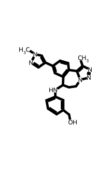 Cc1nnn2c1-c1ccc(-c3cnn(C)c3)cc1C(Nc1cccc(CO)c1)CC2